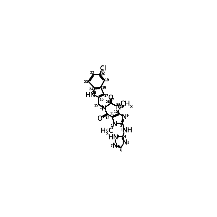 Cn1c(Nc2ncn[nH]2)nc2c1c(=O)n(Cc1cc3cc(Cl)ccc3[nH]1)c(=O)n2C